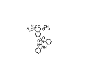 COC(=O)c1cc(S(=O)(=O)N(c2ccccc2)c2nc3ccccc3[nH]2)ccc1C(C)C